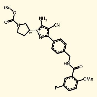 COc1ccc(F)cc1C(=O)NCc1ccc(-c2nn([C@@H]3CCN(C(=O)OC(C)(C)C)C3)c(N)c2C#N)cc1